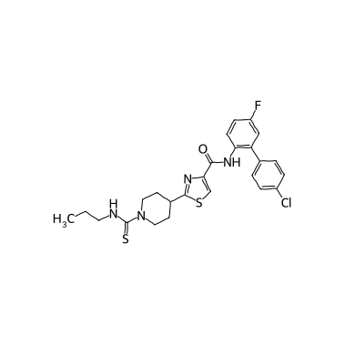 CCCNC(=S)N1CCC(c2nc(C(=O)Nc3ccc(F)cc3-c3ccc(Cl)cc3)cs2)CC1